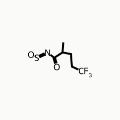 CC(CCC(F)(F)F)C(=O)N=S=O